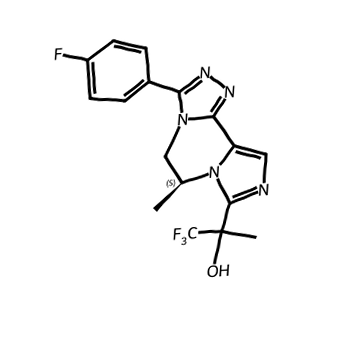 C[C@H]1Cn2c(-c3ccc(F)cc3)nnc2-c2cnc(C(C)(O)C(F)(F)F)n21